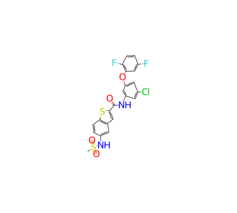 CS(=O)(=O)Nc1ccc2sc(C(=O)Nc3cc(Cl)cc(Oc4cc(F)ccc4F)c3)cc2c1